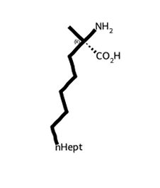 CCCCCCCCCCCC[C@@](C)(N)C(=O)O